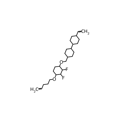 C=CCCCOC1CCC(OCC2CCC(C3CCC(C=C)CC3)CC2)C(F)C1F